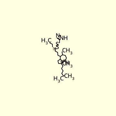 CCCC[C@@H](CCCC1C(CC)CC[C@H]2C3(CCCCC(C)C)CCC1[C@]23C)SSCc1cnc[nH]1